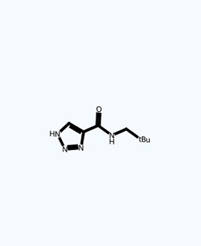 CC(C)(C)CNC(=O)c1c[nH]nn1